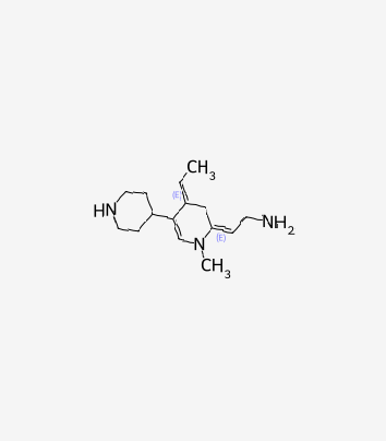 C/C=C1\C/C(=C\CN)N(C)C=C1C1CCNCC1